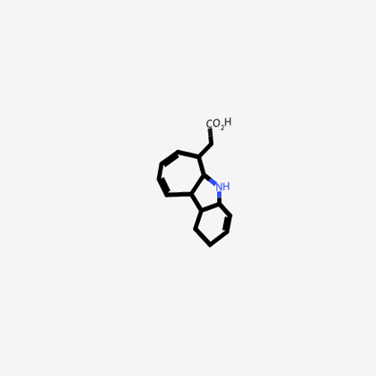 O=C(O)CC1C=CC=CC2C3CCC=CC3NC12